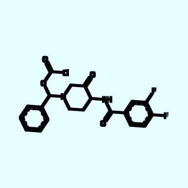 O=C(Cl)OC(c1ccccc1)N1CCC(NC(=O)c2ccc(F)c(F)c2)C(=O)C1